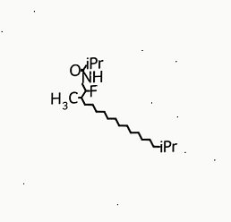 CC(C)CCCCCCCCCCCCCC(C)C(F)CNC(=O)C(C)C